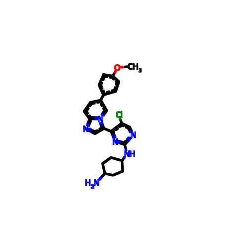 COc1ccc(-c2ccc3ncc(-c4nc(NC5CCC(N)CC5)ncc4Cl)n3c2)cc1